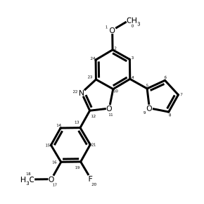 COc1cc(-c2ccco2)c2oc(-c3ccc(OC)c(F)c3)nc2c1